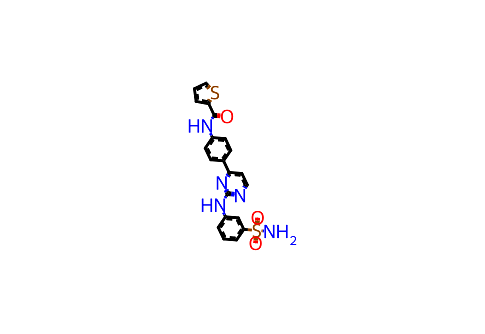 NS(=O)(=O)c1cccc(Nc2nccc(-c3ccc(NC(=O)c4cccs4)cc3)n2)c1